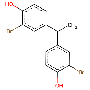 CC(c1ccc(O)c(Br)c1)c1ccc(O)c(Br)c1